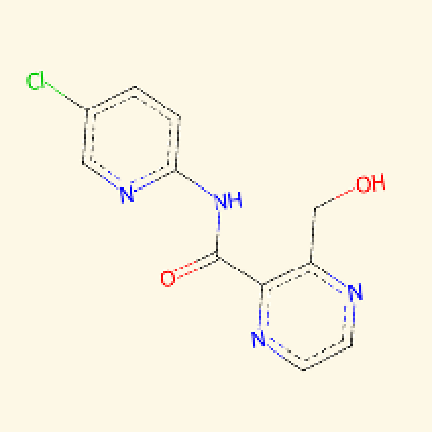 O=C(Nc1ccc(Cl)cn1)c1nccnc1CO